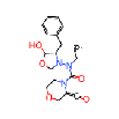 CC(C)CN(C(=O)N1CCOCC1=C=O)N1COC(O)C1Cc1ccccc1